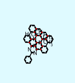 CC1(C)c2ccccc2N(c2c(-c3ccccc3)cccc2-c2nc(-c3ccccc3)nc(-c3cccc(-c4ccccc4)c3N3c4ccccc4C(C)(C)c4ccccc43)n2)c2ccccc21